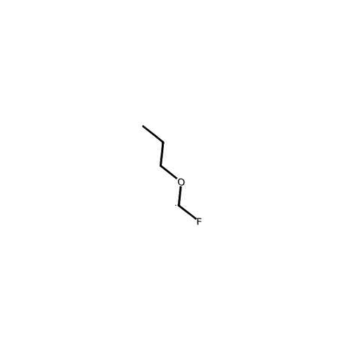 CCCO[CH]F